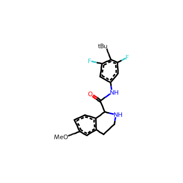 COc1ccc2c(c1)CCNC2C(=O)Nc1cc(F)c(C(C)(C)C)c(F)c1